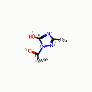 CNC(=O)n1nc(C(C)(C)C)nc1O